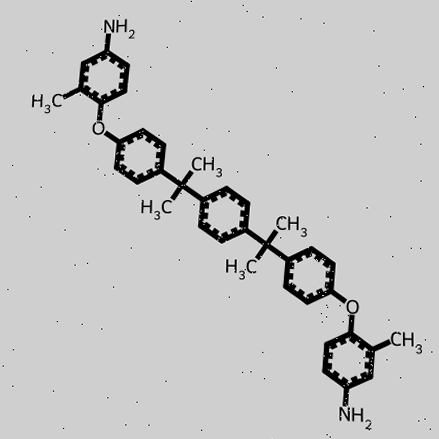 Cc1cc(N)ccc1Oc1ccc(C(C)(C)c2ccc(C(C)(C)c3ccc(Oc4ccc(N)cc4C)cc3)cc2)cc1